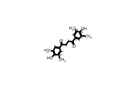 Cc1cc(C(=O)CCC(=O)c2cc(C)c(O)c(C)c2)cc(C)c1O